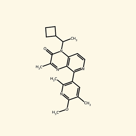 COc1nc(C)c(-c2nccc3c2nc(C)c(=O)n3C(C)C2CCC2)cc1C